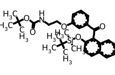 CC(C)(C)OC(=O)NCCOc1cccc(C(=O)c2c(O[Si](C)(C)C(C)(C)C)ccc3ccccc23)c1